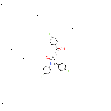 O=C1[C@H](CC[C@H](O)c2ccc(F)cc2)[C@@H](c2ccc(F)cc2)N1c1ccc(F)cc1